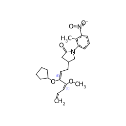 C=C/C=C(OC)\C(=C/CC1CC(=O)N(c2cccc([N+](=O)[O-])c2C)C1)OC1CCCC1